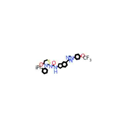 CC(C)c1ccccc1N1C(=O)CCSC1=NC(=O)NC1Cc2ccc(-c3ncn(-c4ccc(OC(F)(F)F)cc4)n3)cc2C1